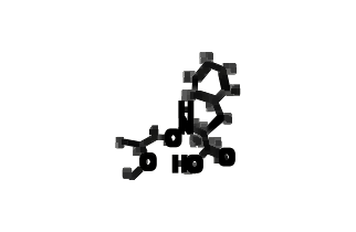 COC(C)CON[C@@H](Cc1ccccc1)C(=O)O